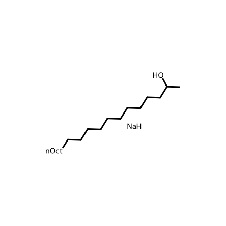 CCCCCCCCCCCCCCCCCCC(C)O.[NaH]